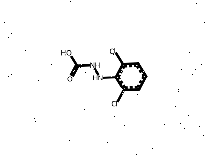 O=C(O)NNc1c(Cl)cccc1Cl